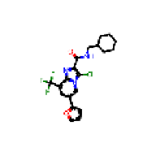 O=C(NCC1CCCCC1)c1nc2c(C(F)(F)F)cc(-c3ccco3)cn2c1Cl